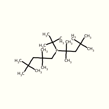 CC(C)(C)CC(C)(C)CP(C(C)(C)C)C(C)(C)CC(C)(C)C